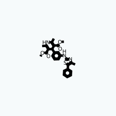 COC(=O)C1=C(C)NC(C)=C(C(=O)OC)C1c1cccc(Nc2nc(C)c(-c3ccccc3)s2)c1